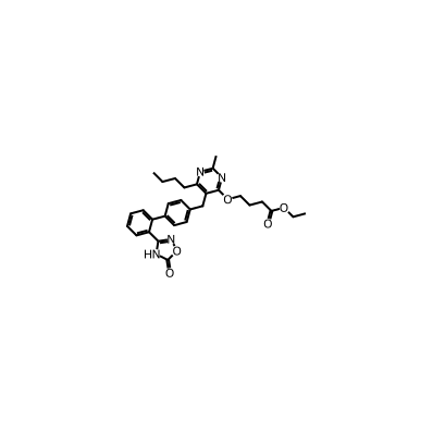 CCCCc1nc(C)nc(OCCCC(=O)OCC)c1Cc1ccc(-c2ccccc2-c2noc(=O)[nH]2)cc1